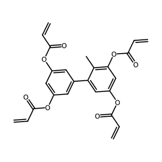 C=CC(=O)Oc1cc(OC(=O)C=C)cc(-c2cc(OC(=O)C=C)cc(OC(=O)C=C)c2C)c1